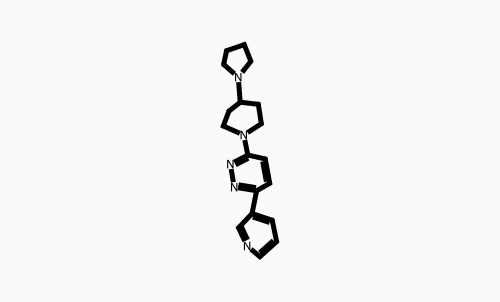 c1cncc(-c2ccc(N3CCC(N4CCCC4)CC3)nn2)c1